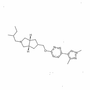 CCC(C)CN1C[C@H]2CC(COc3ccc(-c4cn(C)nc4C)nn3)C[C@H]2C1